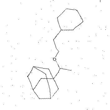 CC(OCCC1CCCCC1)C12CC3CC(CC(C3)C1)C2